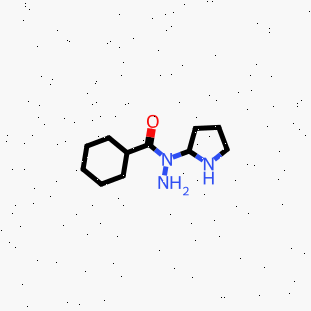 NN(C(=O)C1CCCCC1)C1CCCN1